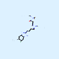 CCN1/C(=C\C=c2s/c(=C3/SC(=S)N(CC(=O)O)C3=O)n(CC(=O)O)c2=O)N(C)c2cc(C#N)c(Cl)cc21